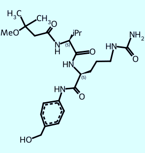 COC(C)(C)CC(=O)N[C@H](C(=O)N[C@@H](CCCNC(N)=O)C(=O)Nc1ccc(CO)cc1)C(C)C